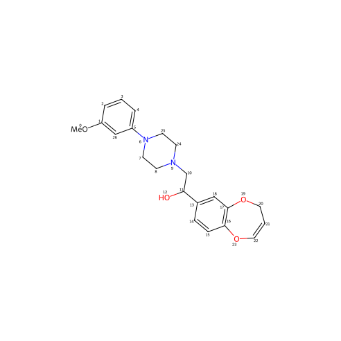 COc1cccc(N2CCN(CC(O)c3ccc4c(c3)OCC=CO4)CC2)c1